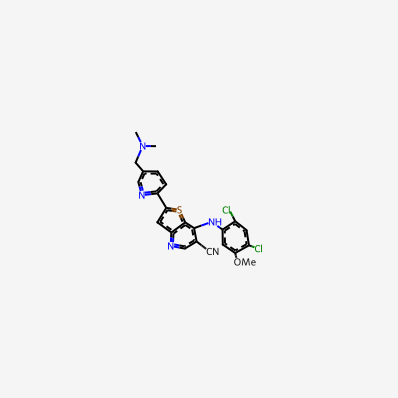 COc1cc(Nc2c(C#N)cnc3cc(-c4ccc(CN(C)C)cn4)sc23)c(Cl)cc1Cl